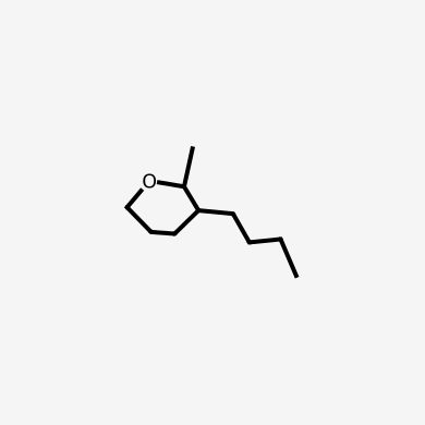 CCCCC1CCCOC1C